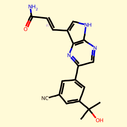 CC(C)(O)c1cc(C#N)cc(-c2cnc3[nH]cc(/C=C/C(N)=O)c3n2)c1